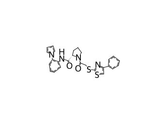 O=C(Nc1ccccc1-n1cccc1)[C@@H]1CCCN1C(=O)CSc1nc(-c2ccccc2)cs1